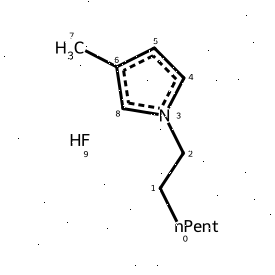 CCCCCCCn1ccc(C)c1.F